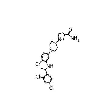 C[C@@H](Nc1cc(N2CCC(N3CCC(C(N)=O)C3)CC2)ccc1Cl)c1ccc(Cl)cc1Cl